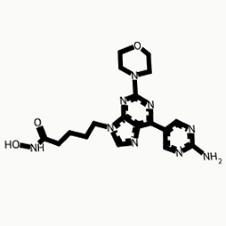 Nc1ncc(-c2nc(N3CCOCC3)nc3c2ncn3CCCCC(=O)NO)cn1